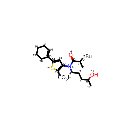 CCCCC(C)C(=O)N(CCCC(C)O)c1cc(C2=CCCCC2)sc1C(=O)O